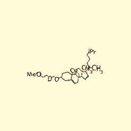 COCCOCO[C@H]1CC[C@@]2(C)C(=CCC3C2CC[C@@]2(C)C3CC[C@@H]2C(C)CCCC(C)C)C1